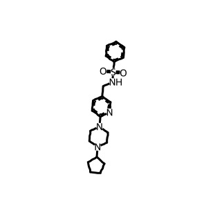 O=S(=O)(NCc1ccc(N2CCN(C3CCCC3)CC2)nc1)c1ccccc1